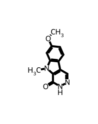 COc1ccc2c3cn[nH]c(=O)c3n(C)c2c1